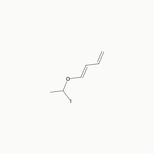 C=CC=COC(C)I